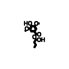 CCCC(O)OC(=O)c1cc(OC)c(O)c(OC)c1